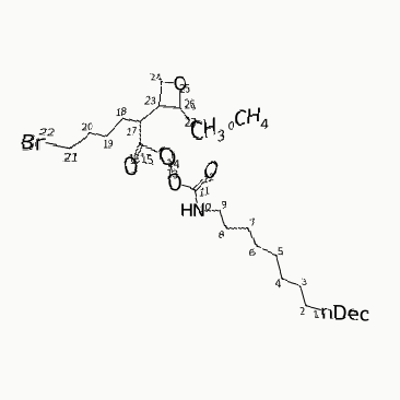 C.CCCCCCCCCCCCCCCCCCNC(=O)OOC(=O)C(CCCCBr)C1COC1C